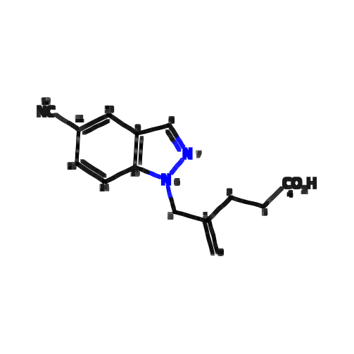 C=C(CCC(=O)O)Cn1ncc2cc(C#N)ccc21